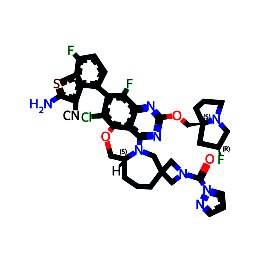 N#Cc1c(N)sc2c(F)ccc(-c3c(Cl)c4c5c(nc(OC[C@@]67CCCN6C[C@H](F)C7)nc5c3F)N3CC5(CCC[C@H]3CO4)CN(C(=O)n3cccn3)C5)c12